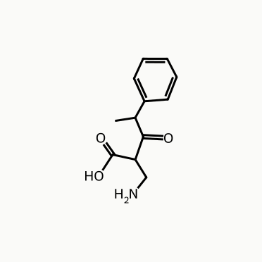 CC(C(=O)C(CN)C(=O)O)c1ccccc1